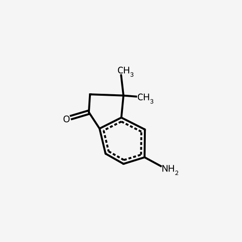 CC1(C)CC(=O)c2ccc(N)cc21